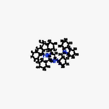 CC1(C)c2cc3ccccc3cc2-c2c(/C(=C/Cc3ccccc3Cn3c4ccccc4c4ccccc43)NC(N)c3ccccc3)cccc21